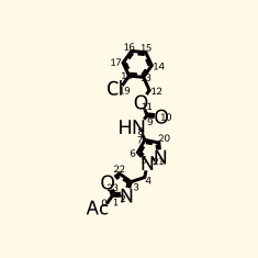 CC(=O)c1nc(Cn2cc(NC(=O)OCc3ccccc3Cl)cn2)co1